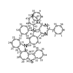 c1ccc(-c2nc(-c3ccccc3)c3c(n2)-c2ccc(-n4c5ccccc5c5ccc6sc7ccccc7c6c54)cc2[Si]3(c2ccccc2)c2ccccc2)cc1